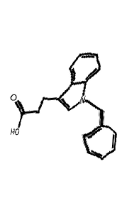 O=C(O)CCc1cn(Cc2ccccc2)c2ccccc12